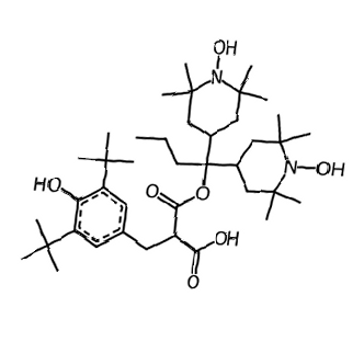 CCCC(OC(=O)C(Cc1cc(C(C)(C)C)c(O)c(C(C)(C)C)c1)C(=O)O)(C1CC(C)(C)N(O)C(C)(C)C1)C1CC(C)(C)N(O)C(C)(C)C1